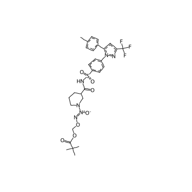 Cc1ccc(-c2cc(C(F)(F)F)nn2-c2ccc(S(=O)(=O)NC(=O)C3CCCN(/[N+]([O-])=N/OCOC(=O)C(C)(C)C)C3)cc2)cc1